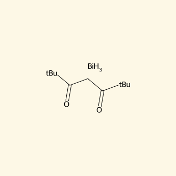 CC(C)(C)C(=O)CC(=O)C(C)(C)C.[BiH3]